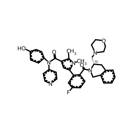 Cc1c(C(=O)N(c2ccncc2)c2ccc(O)cc2)cc(-c2cc(F)ccc2C(=O)N2Cc3ccccc3C[C@H]2CN2CCOCC2)n1C